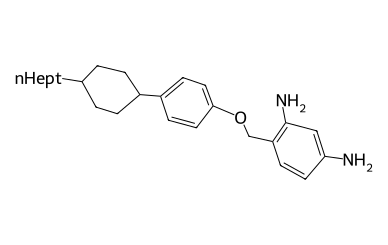 CCCCCCCC1CCC(c2ccc(OCc3ccc(N)cc3N)cc2)CC1